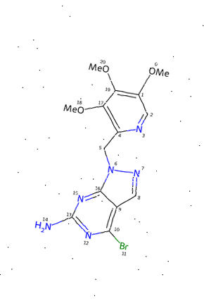 COc1cnc(Cn2ncc3c(Br)nc(N)nc32)c(OC)c1OC